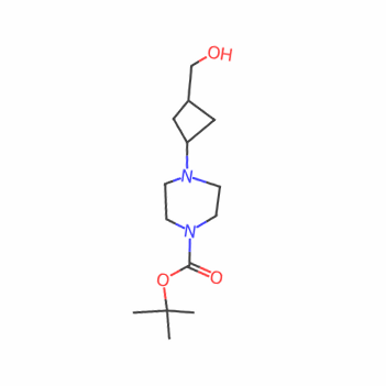 CC(C)(C)OC(=O)N1CCN(C2CC(CO)C2)CC1